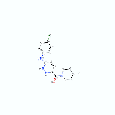 CC1CCN(C(=O)c2ccc(Nc3ccc(Cl)cc3)nn2)CC1